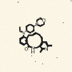 CCN(c1cccc2c1C/C=C/CCc1cc(C)nc(C)c1CNC2=O)[C@H]1CC[C@@H](N2CCOCC2)CC1